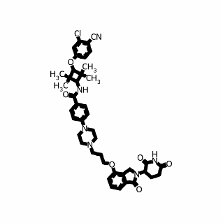 CC1(C)C(NC(=O)c2ccc(N3CCN(CCCOc4cccc5c4CN(C4CCC(=O)NC4=O)C5=O)CC3)cc2)C(C)(C)C1Oc1ccc(C#N)c(Cl)c1